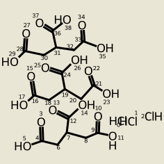 Cl.Cl.Cl.O=C(O)CC(CC(=O)O)C(=O)O.O=C(O)CC(CC(=O)O)C(=O)O.O=C(O)CC(CC(=O)O)C(=O)O